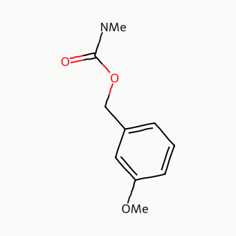 CNC(=O)OCc1cccc(OC)c1